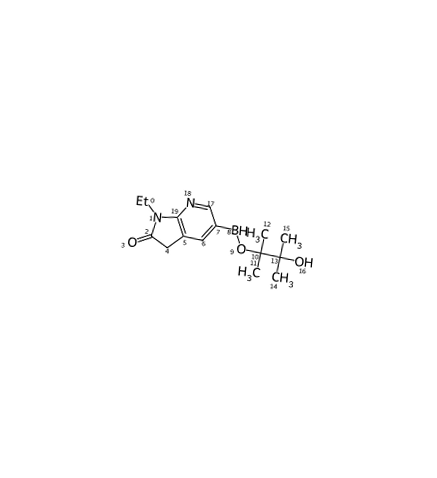 CCN1C(=O)Cc2cc(BOC(C)(C)C(C)(C)O)cnc21